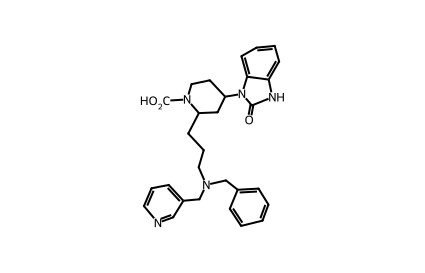 O=C(O)N1CCC(n2c(=O)[nH]c3ccccc32)CC1CCCN(Cc1ccccc1)Cc1cccnc1